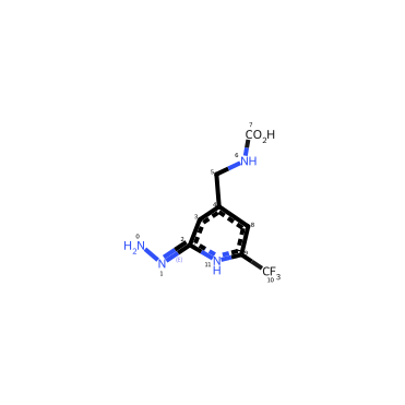 N/N=c1\cc(CNC(=O)O)cc(C(F)(F)F)[nH]1